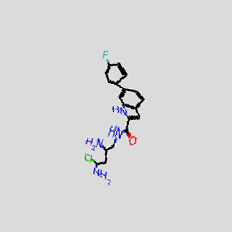 NC(Cl)CC(N)CNC(=O)c1cc2ccc(-c3ccc(F)cc3)cc2[nH]1